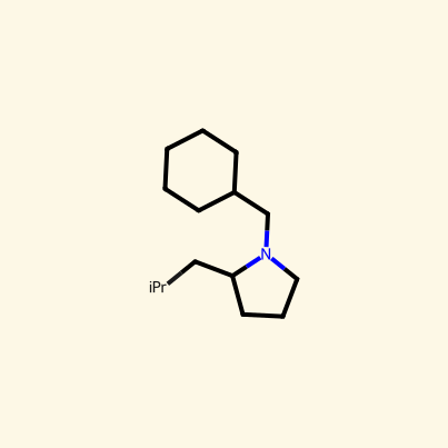 CC(C)CC1CCCN1CC1CCCCC1